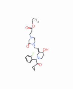 CCOC(=O)CCN1CCN(C/C=C2\CN(C(C(=O)C3CC3)c3ccccc3F)CCC2O)C(=O)C1